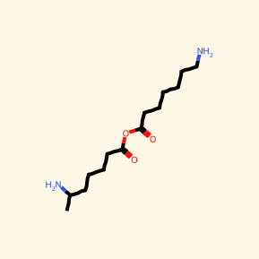 CC(N)CCCCC(=O)OC(=O)CCCCCCN